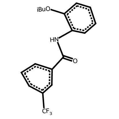 CC(C)COc1ccccc1NC(=O)c1cccc(C(F)(F)F)c1